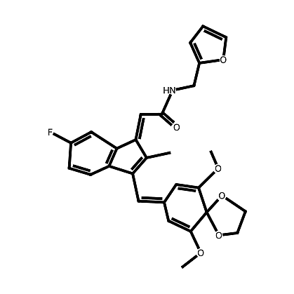 COC1=CC(=CC2=C(C)C(=CC(=O)NCc3ccco3)c3cc(F)ccc32)C=C(OC)C12OCCO2